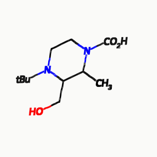 CC1C(CO)N(C(C)(C)C)CCN1C(=O)O